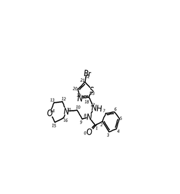 O=C(c1ccccc1)N(CCN1CCOCC1)Nc1ncc(Br)s1